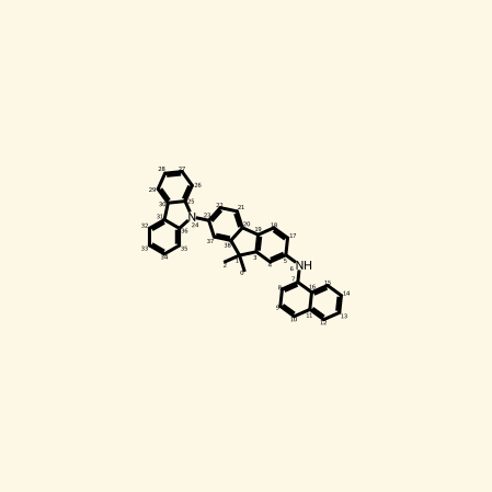 CC1(C)c2cc(Nc3cccc4ccccc34)ccc2-c2ccc(-n3c4ccccc4c4ccccc43)cc21